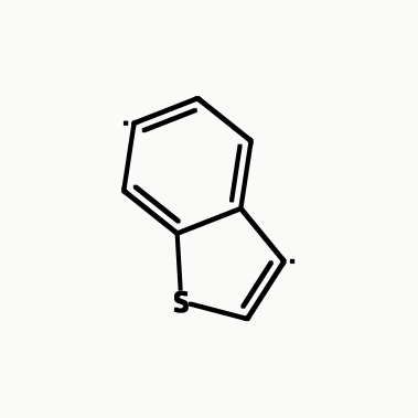 [c]1ccc2[c]csc2c1